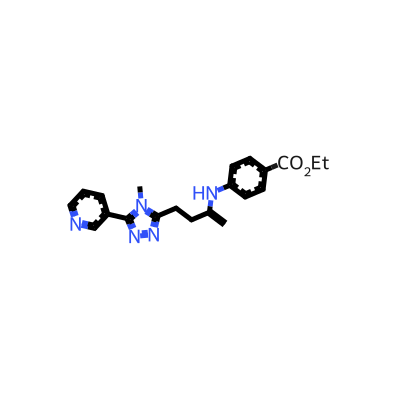 C=C(CCc1nnc(-c2cccnc2)n1C)Nc1ccc(C(=O)OCC)cc1